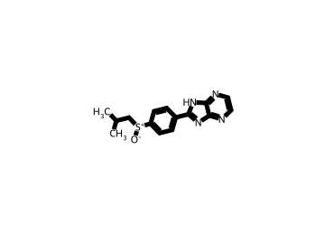 CC(C)C[S+]([O-])c1ccc(-c2nc3nccnc3[nH]2)cc1